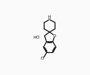 Cl.Clc1ccc2c(c1)CC1(CCNCC1)O2